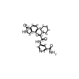 NC(=O)c1cncc(NC(=O)C(=O)N2CCCC[C@H]2c2ccc3c(c2)CNC3=O)c1